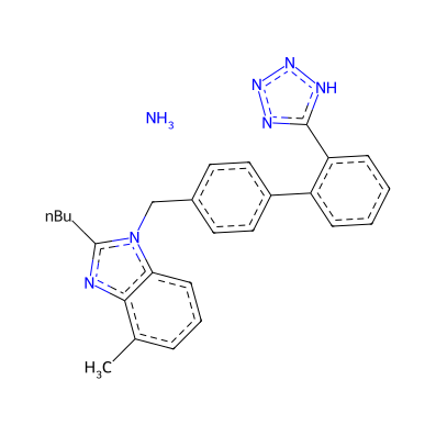 CCCCc1nc2c(C)cccc2n1Cc1ccc(-c2ccccc2-c2nnn[nH]2)cc1.N